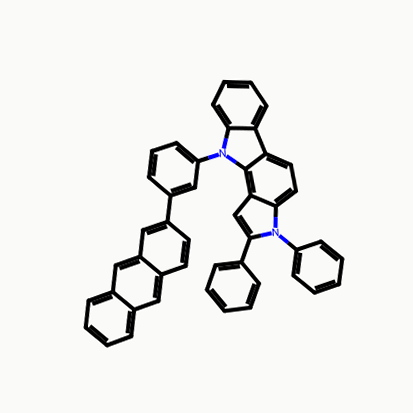 c1ccc(-c2cc3c(ccc4c5ccccc5n(-c5cccc(-c6ccc7cc8ccccc8cc7c6)c5)c43)n2-c2ccccc2)cc1